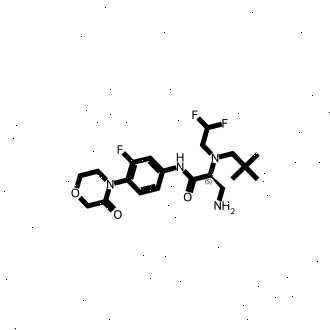 CC(C)(C)CN(CC(F)F)[C@@H](CN)C(=O)Nc1ccc(N2CCOCC2=O)c(F)c1